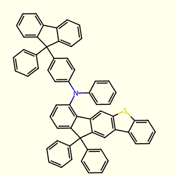 c1ccc(N(c2ccc(C3(c4ccccc4)c4ccccc4-c4ccccc43)cc2)c2cccc3c2-c2cc4sc5ccccc5c4cc2C3(c2ccccc2)c2ccccc2)cc1